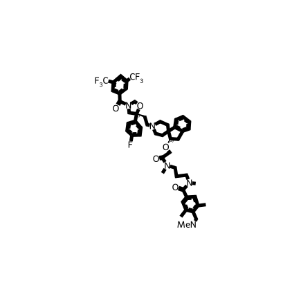 CNCc1c(C)cc(C(=O)N(C)CCCN(C)C(=O)CO[C@H]2Cc3ccccc3C23CCN(CC[C@@]2(c4ccc(F)cc4)CN(C(=O)c4cc(C(F)(F)F)cc(C(F)(F)F)c4)CO2)CC3)cc1C